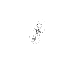 C/C(N)=N/C(=N\S(=O)(=O)c1ccc(C#N)cc1)NC12CC3CC(CC(C3)C1)C2